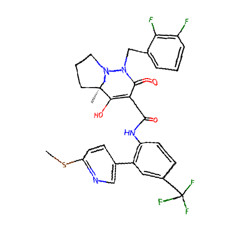 CSc1ccc(-c2cc(C(F)(F)F)ccc2NC(=O)C2=C(O)[C@@]3(C)CCCN3N(Cc3cccc(F)c3F)C2=O)cn1